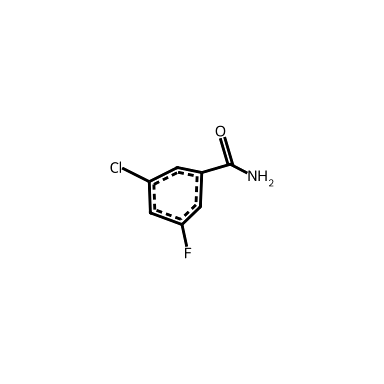 NC(=O)c1cc(F)cc(Cl)c1